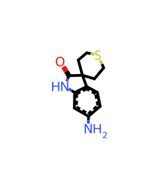 Nc1ccc2c(c1)NC(=O)C21CCSCC1